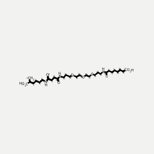 C[C@@H](CCCCNC(=O)CCC(=O)NCCCOCCOCCOCCCNC(=O)CCCCCCC(=O)O)C(=O)O